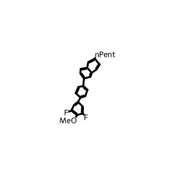 CCCCCc1ccc2cc(-c3ccc(-c4cc(F)c(OC)c(F)c4)cc3)ccc2c1